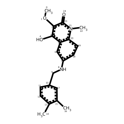 COc1c(O)c2cc(NCc3ccc(C)c(C)c3)ccc2n(C)c1=O